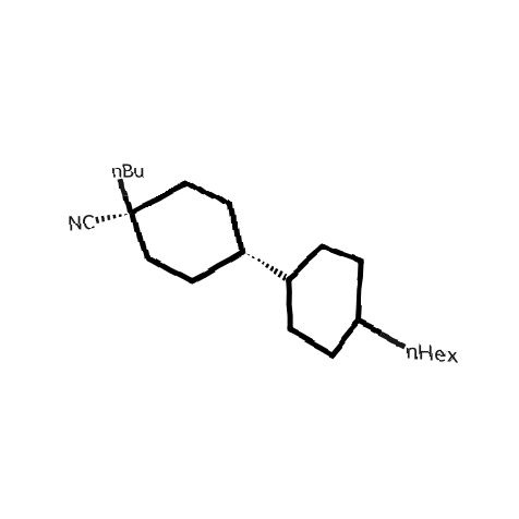 CCCCCCC1CCC([C@H]2CC[C@](C#N)(CCCC)CC2)CC1